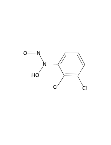 O=NN(O)c1cccc(Cl)c1Cl